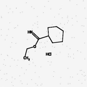 CCOC(=N)C1CCCCC1.Cl